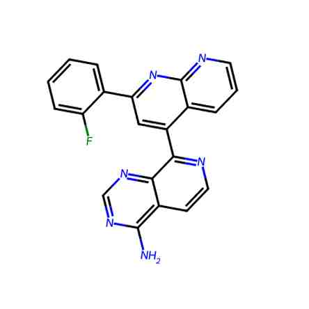 Nc1ncnc2c(-c3cc(-c4ccccc4F)nc4ncccc34)nccc12